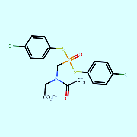 CCOC(=O)CN(CP(=O)(Sc1ccc(Cl)cc1)Sc1ccc(Cl)cc1)C(=O)C(F)(F)F